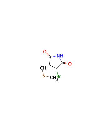 CSC.O=C1CC(Br)C(=O)N1